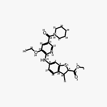 COC(=O)C1Sc2cc(Nc3ncc(C(=O)N4CCCCC4)cc3OCI)ccc2C1C